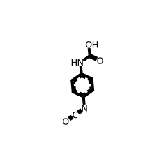 O=C=Nc1ccc(NC(=O)O)cc1